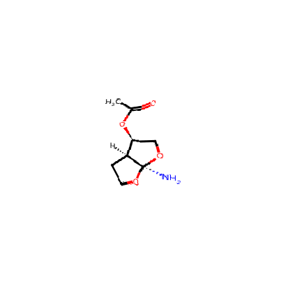 CC(=O)O[C@H]1CO[C@@]2(N)OCC[C@@H]12